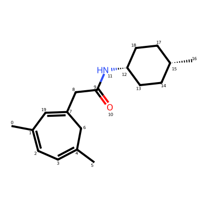 CC1=CC=C(C)CC(CC(=O)N[C@H]2CC[C@@H](C)CC2)=C1